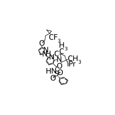 CC(C)C1(C)CN(c2nc(-n3ccc(OCCC4(C(F)(F)F)CC4)n3)ccc2C(=O)NS(=O)(=O)c2ccccc2)C(C)(C)C1